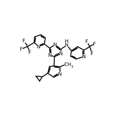 Cc1ncc(C2CC2)cc1-c1nc(Nc2ccnc(C(F)(F)F)c2)nc(-c2cccc(C(F)(F)F)n2)n1